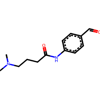 CN(C)CCCC(=O)Nc1ccc(C=O)cc1